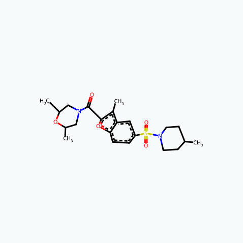 Cc1c(C(=O)N2CC(C)OC(C)C2)oc2ccc(S(=O)(=O)N3CCC(C)CC3)cc12